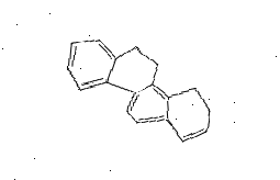 C1=Cc2ccc3c(c2CC1)CCc1ccccc1-3